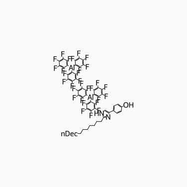 CCCCCCCCCCCCCCCCCc1nc(-c2ccc(O)cc2)c[nH]1.Fc1c(F)c(F)[c]([Al]([c]2c(F)c(F)c(F)c(F)c2F)[c]2c(F)c(F)c(F)c(F)c2F)c(F)c1F.Fc1c(F)c(F)[c]([Al]([c]2c(F)c(F)c(F)c(F)c2F)[c]2c(F)c(F)c(F)c(F)c2F)c(F)c1F